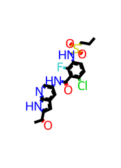 CCCS(=O)(=O)Nc1ccc(Cl)c(C(=O)Nc2cnc3[nH]c(C(C)=O)cc3c2)c1F